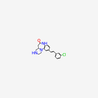 O=C1CC2CNCCN2c2cc(/C=C/c3cccc(Cl)c3)ccc2N1